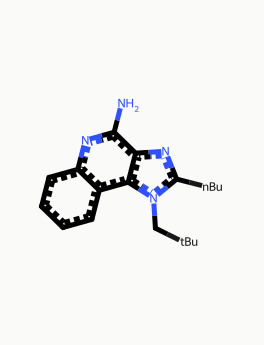 [CH2]C(C)(C)Cn1c(CCCC)nc2c(N)nc3ccccc3c21